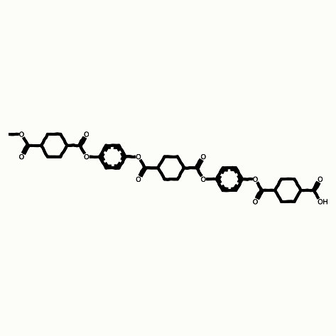 COC(=O)C1CCC(C(=O)Oc2ccc(OC(=O)C3CCC(C(=O)Oc4ccc(OC(=O)C5CCC(C(=O)O)CC5)cc4)CC3)cc2)CC1